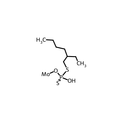 CCCCC(CC)CSP(O)(=S)[O][Mo]